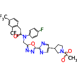 CS(=O)(=O)N1CCC(c2cnc(-c3nnc(CN(C(=O)Cc4ccc(C(F)(F)F)cc4C(F)(F)F)c4ccc(F)cc4)o3)nc2)C1